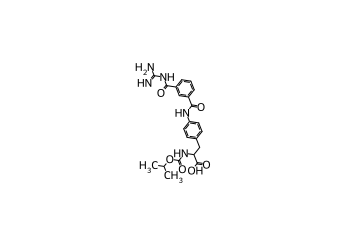 CC(C)OC(=O)NC(Cc1ccc(NC(=O)c2cccc(C(=O)NC(=N)N)c2)cc1)C(=O)O